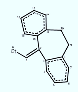 CCC=C1c2ccccc2CCc2ccccc21